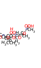 CC(C)=CCc1c2c(c(O)c3c1OC(C)/C(=C\C(C=O)CCC(C)(C)OCC/C=C(\C)C(=O)O)C3=O)C=CC(C)(C/C=C\C(C)(C)O)O2